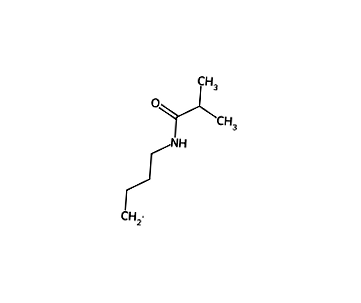 [CH2]CCCNC(=O)C(C)C